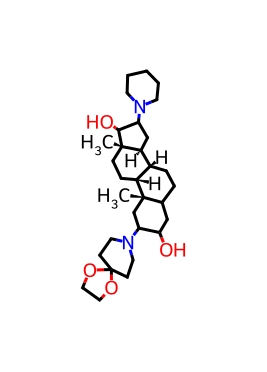 C[C@]12CC(N3CCC4(CC3)OCCO4)C(O)CC1CC[C@@H]1[C@H]2CC[C@]2(C)C(O)C(N3CCCCC3)C[C@@H]12